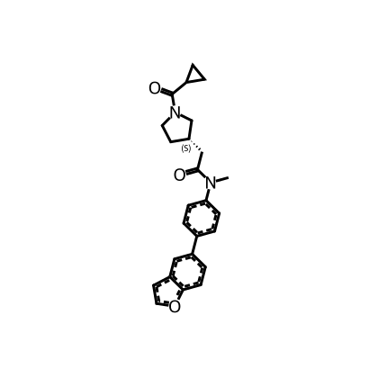 CN(C(=O)C[C@@H]1CCN(C(=O)C2CC2)C1)c1ccc(-c2ccc3occc3c2)cc1